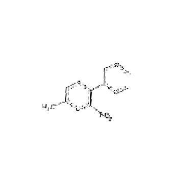 Cc1ccc(-c2cc[c]cc2)c([N+](=O)[O-])c1